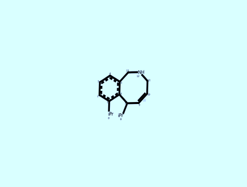 CC(C)c1cccc2c1C(C(C)C)/C=C\CNC2